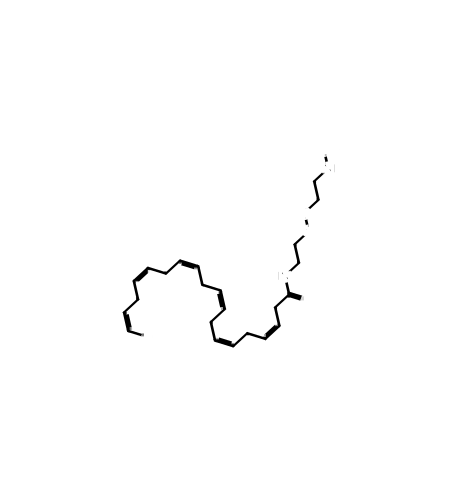 CC/C=C\C/C=C\C/C=C\C/C=C\C/C=C\C/C=C\CC(=O)NCCSSCCNC=O